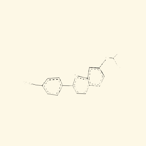 CCC(CC)Oc1ccc2ccc(-c3ccc(NC)cc3)nc2c1